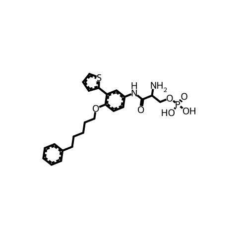 NC(COP(=O)(O)O)C(=O)Nc1ccc(OCCCCCc2ccccc2)c(-c2cccs2)c1